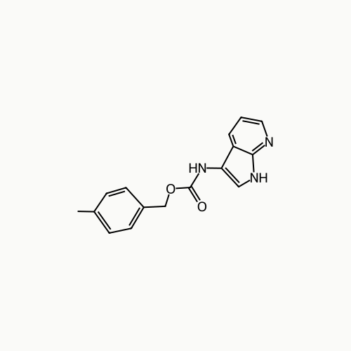 Cc1ccc(COC(=O)Nc2c[nH]c3ncccc23)cc1